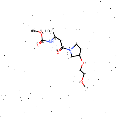 CCOCCOC1CCN(C(=O)CC(NC(=O)OC(C)(C)C)C(=O)O)C1